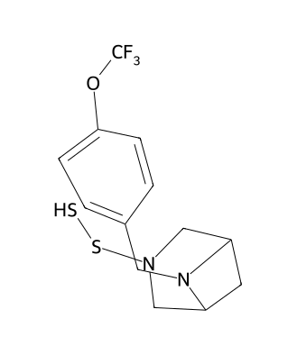 FC(F)(F)Oc1ccc(CN2C3CC2CN(SS)C3)cc1